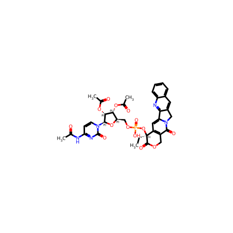 CC[C@@]1(OP(=O)(O)OC[C@H]2O[C@@H](n3ccc(NC(C)=O)nc3=O)[C@H](OC(C)=O)[C@@H]2OC(C)=O)C(=O)OCc2c1cc1n(c2=O)Cc2cc3ccccc3nc2-1